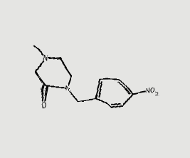 CN1CCN(Cc2ccc([N+](=O)[O-])cc2)C(=O)C1